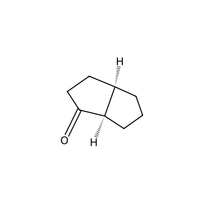 O=C1CC[C@H]2CCC[C@@H]12